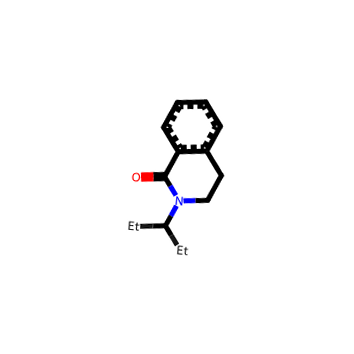 CCC(CC)N1CCc2ccccc2C1=O